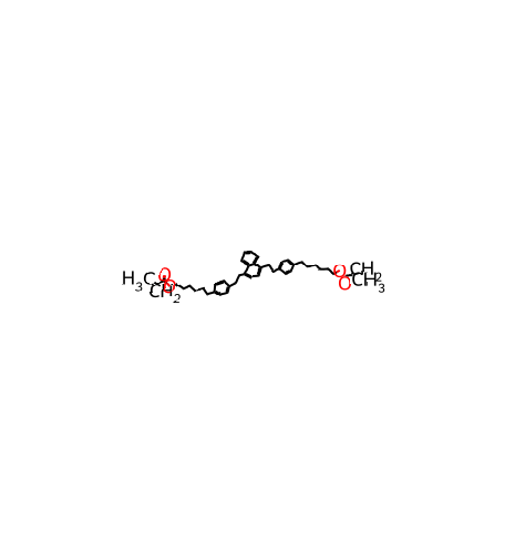 C=C(C)C(=O)OCCCCCCc1ccc(CCc2ccc(CCc3ccc(CCCCCCOC(=O)C(=C)C)cc3)c3ccccc23)cc1